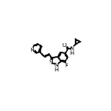 O=C(NC1CC1)c1cc(F)c2[nH]nc(/C=C/c3cccnc3)c2c1